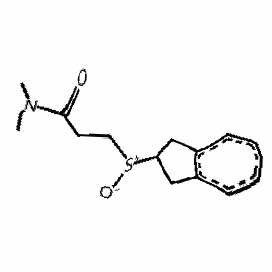 CN(C)C(=O)CC[S+]([O-])C1Cc2ccccc2C1